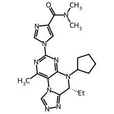 CC[C@@H]1c2nncn2-c2c(C)nc(-n3cnc(C(=O)N(C)C)c3)nc2N1C1CCCC1